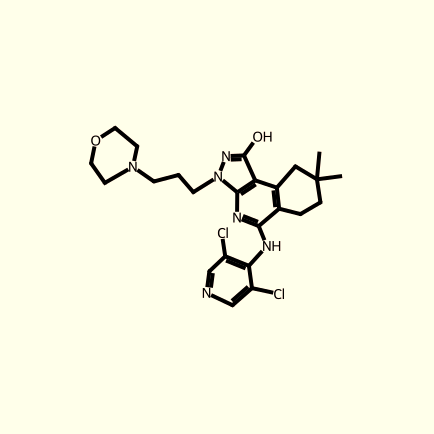 CC1(C)CCc2c(Nc3c(Cl)cncc3Cl)nc3c(c(O)nn3CCCN3CCOCC3)c2C1